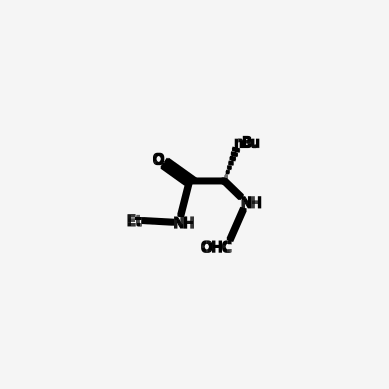 CCCC[C@H](NC=O)C(=O)NCC